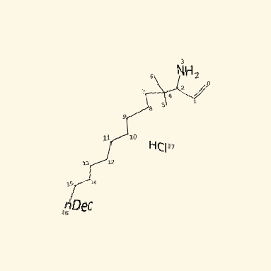 C=CC(N)C(C)(C)CCCCCCCCCCCCCCCCCCC.Cl